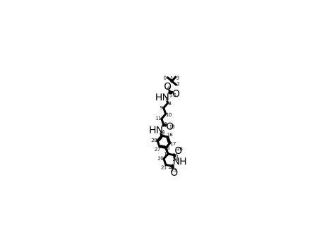 CC(C)(C)OC(=O)NCCCCC(=O)Nc1ccc(C2CCC(=O)NC2=O)cc1